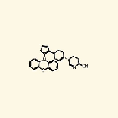 N#CC1CC[C@@H](C2=CCC(C3=C(N4c5ccccc5Sc5ccccc54)CC=C3)CC2)C=N1